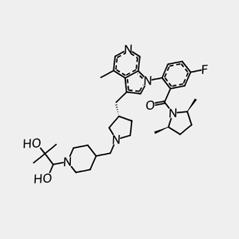 Cc1cncc2c1c(C[C@@H]1CCN(CC3CCN(C(O)C(C)(C)O)CC3)C1)cn2-c1ccc(F)cc1C(=O)N1[C@H](C)CC[C@@H]1C